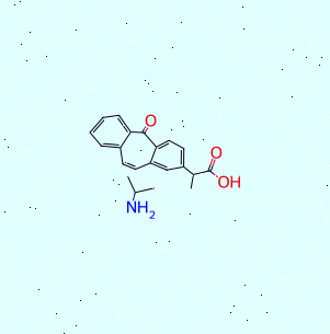 CC(C(=O)O)c1ccc2c(=O)c3ccccc3ccc2c1.CC(C)N